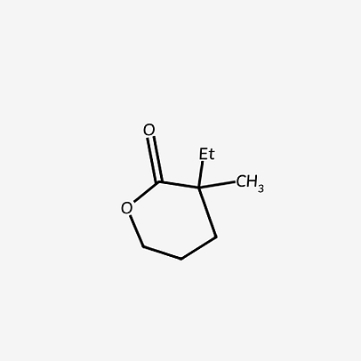 CCC1(C)CCCOC1=O